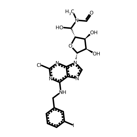 CN(C=O)C(O)[C@H]1O[C@@H](n2cnc3c(NCc4cccc(I)c4)nc(Cl)nc32)[C@H](O)[C@@H]1O